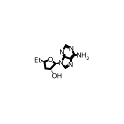 CC[C@@H]1C[C@@H](O)[C@H](n2cnc3c(N)ncnc32)O1